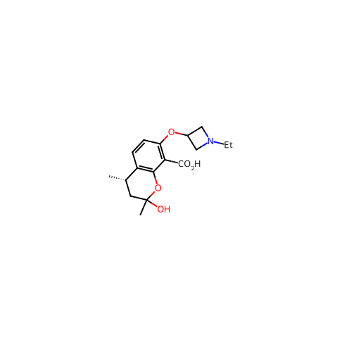 CCN1CC(Oc2ccc3c(c2C(=O)O)OC(C)(O)C[C@@H]3C)C1